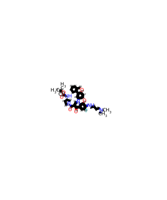 CN(C)CCCCNc1c(F)cc2c(=O)c(C(=O)N3CC[C@H](NC(=O)OC(C)(C)C)C3)cn3c2c1Oc1cc2c(cc1-3)C1=C(C=CCC1)CO2